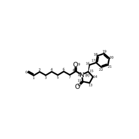 C=CCCCCCCC(=O)N1C(=O)CC[C@@H]1Cc1ccccc1